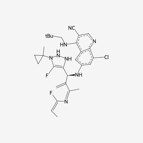 C=C(/C(C)=N\C(F)=C/C)[C@H](Nc1cc(Cl)c2ncc(C#N)c(NCC(C)(C)C)c2c1)C1=C(F)N(C2(C)CC2)NN1